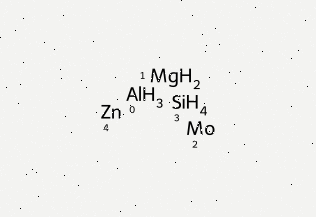 [AlH3].[MgH2].[Mo].[SiH4].[Zn]